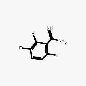 N=C(N)c1c(F)ccc(F)c1F